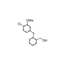 COc1cc(Sc2ccccc2CO)ccc1Cl